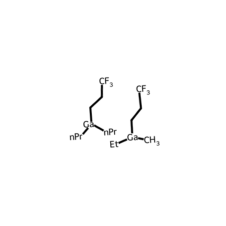 CC[CH2][Ga]([CH2]CC)[CH2]CC(F)(F)F.C[CH2][Ga]([CH3])[CH2]CC(F)(F)F